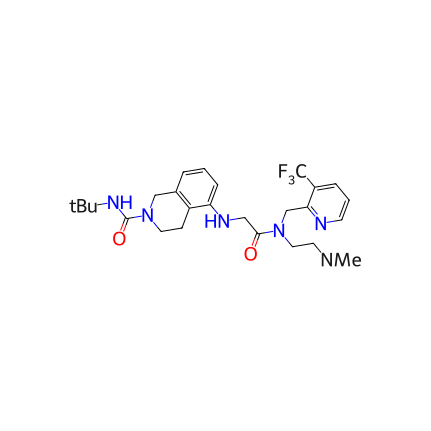 CNCCN(Cc1ncccc1C(F)(F)F)C(=O)CNc1cccc2c1CCN(C(=O)NC(C)(C)C)C2